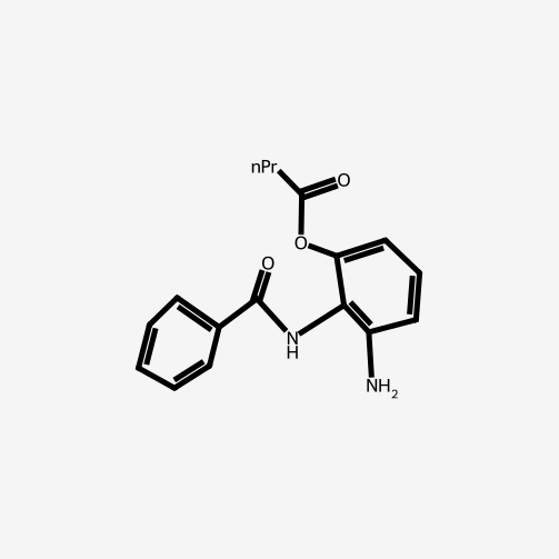 CCCC(=O)Oc1cccc(N)c1NC(=O)c1ccccc1